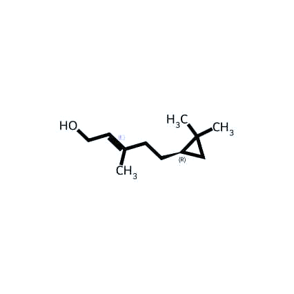 C/C(=C\CO)CC[C@@H]1CC1(C)C